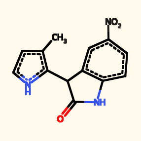 Cc1cc[nH]c1C1C(=O)Nc2ccc([N+](=O)[O-])cc21